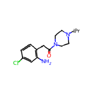 CC(C)N1CCN(C(=O)Cc2ccc(Cl)cc2N)CC1